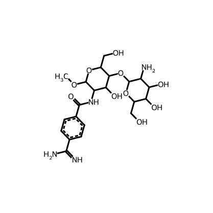 COC1OC(CO)C(OC2OC(CO)C(O)C(O)C2N)C(O)C1NC(=O)c1ccc(C(=N)N)cc1